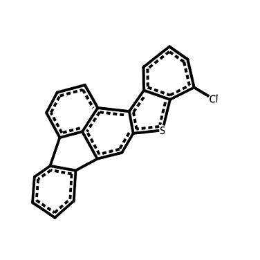 Clc1cccc2c1sc1cc3c4c(cccc4c12)-c1ccccc1-3